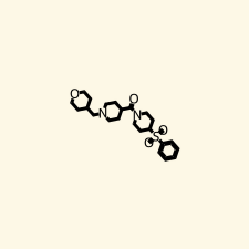 O=C(C1CCN(CC2CCOCC2)CC1)N1CCC(S(=O)(=O)c2ccccc2)CC1